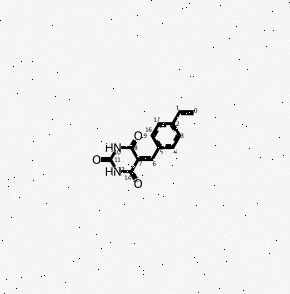 C=Cc1ccc(C=C2C(=O)NC(=O)NC2=O)cc1